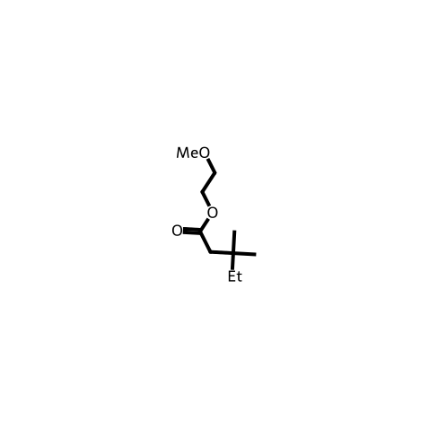 CCC(C)(C)CC(=O)OCCOC